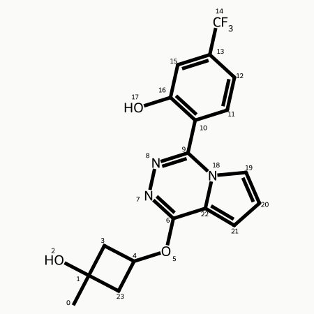 CC1(O)CC(Oc2nnc(-c3ccc(C(F)(F)F)cc3O)n3cccc23)C1